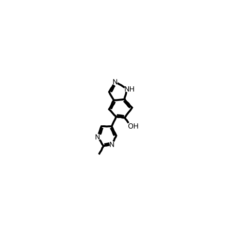 Cc1ncc(-c2cc3cn[nH]c3cc2O)cn1